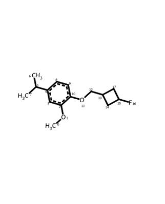 COc1cc(C(C)C)ccc1OCC1CC(F)C1